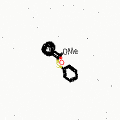 COC(=O)[C]12[CH]3[CH]4[CH]5[CH]1[Fe]45321678[CH]2[CH]1[CH]6[C]7(CSc1ccccc1)[CH]28